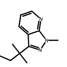 CCC(C)(C)c1nn(C)c2ncccc12